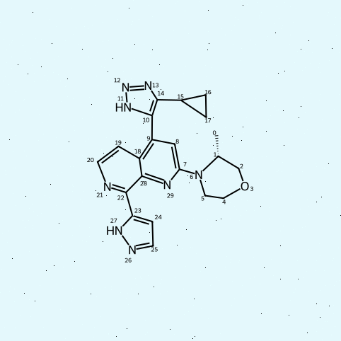 C[C@@H]1COCCN1c1cc(-c2[nH]nnc2C2CC2)c2ccnc(-c3ccn[nH]3)c2n1